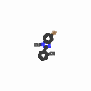 CC(C)(C)n1c(-c2ccccc2C#N)nc2cc(Br)ccc21